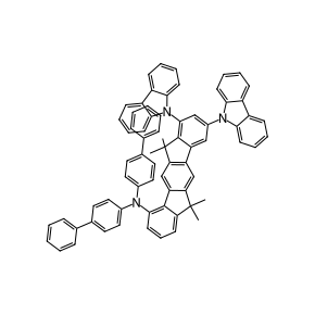 CC1(C)c2cc3c(cc2-c2c(N(c4ccc(-c5ccccc5)cc4)c4ccc(-c5ccccc5)cc4)cccc21)C(C)(C)c1c-3cc(-n2c3ccccc3c3ccccc32)cc1-n1c2ccccc2c2ccccc21